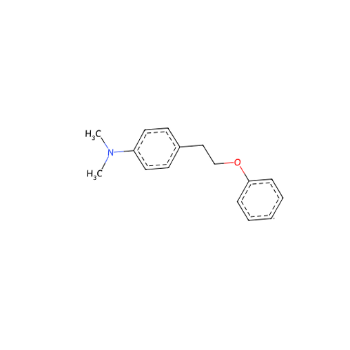 CN(C)c1ccc(CCOc2cc[c]cc2)cc1